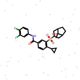 CC1(O)C2CCC1CC(S(=O)(=O)c1cc(C(=O)Nc3ccc(F)c(F)c3)ccc1C1CC1)C2